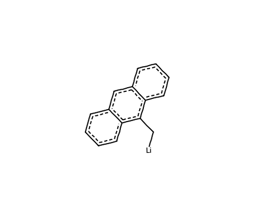 [Li][CH2]c1c2ccccc2cc2ccccc12